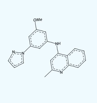 COc1cc(Nc2cc(C)nc3ccccc23)cc(-n2cccn2)c1